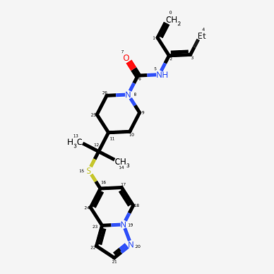 C=C/C(=C\CC)NC(=O)N1CCC(C(C)(C)Sc2ccn3nccc3c2)CC1